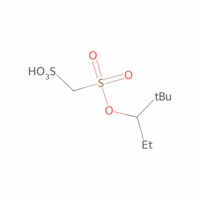 CCC(OS(=O)(=O)CS(=O)(=O)O)C(C)(C)C